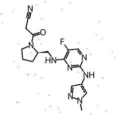 Cn1cc(Nc2ncc(F)c(NC[C@H]3CCCN3C(=O)CC#N)n2)cn1